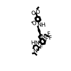 CCOC(=O)c1ccc(NCC#Cc2cc3c(NC4CCN(C(C)C)CC4F)cccc3n2CC(F)(F)F)c(OC)c1